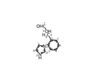 Cc1ccccc1.O=CO.c1c[nH]cn1